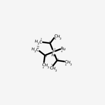 CC(C)[PH]([Ru])(C(C)C)C(C)C